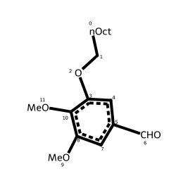 CCCCCCCCCOc1cc(C=O)cc(OC)c1OC